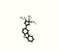 CC1=CC(c2ccc3sc4ccccc4c3c2)=CC1(C)C